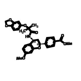 COC(=O)c1ccc([C@H]2C[C@@H](NC(=O)C(C)(C)Oc3ccc4c(c3)OCO4)c3ccc(OC)cc3O2)cc1